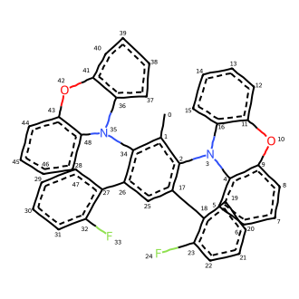 Cc1c(N2c3ccccc3Oc3ccccc32)c(-c2ccccc2F)cc(-c2ccccc2F)c1N1c2ccccc2Oc2ccccc21